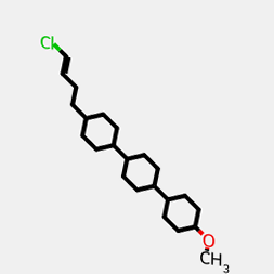 COC1CCC(C2CCC(C3CCC(CC/C=C/Cl)CC3)CC2)CC1